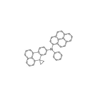 c1ccc(N(c2ccc3c(c2)C2(CC2)c2cccc4cccc-3c24)c2ccc3ccc4cccc5ccc2c3c45)cc1